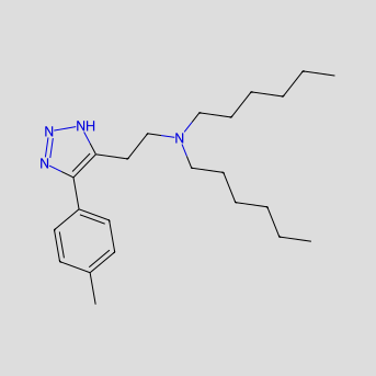 CCCCCCN(CCCCCC)CCc1[nH]nnc1-c1ccc(C)cc1